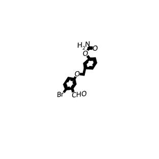 NC(=O)Oc1cccc(COc2ccc(Br)c(C=O)c2)c1